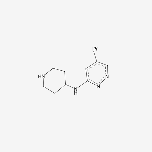 CC(C)c1cnnc(NC2CCNCC2)c1